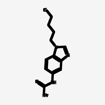 CCCC(=O)Nc1ccc2c(c1)ncn2CCCCCl